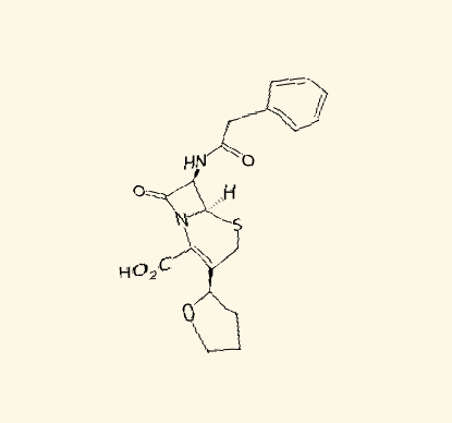 O=C(Cc1ccccc1)N[C@@H]1C(=O)N2C(C(=O)O)=C([C@H]3CCCO3)CS[C@H]12